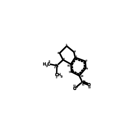 CN(C)C1CCCc2ccc([N+](=O)[O-])cc21